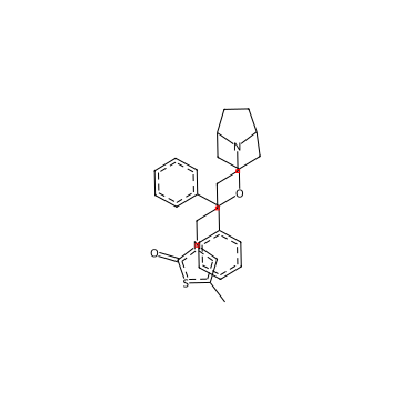 Cc1cn(CCCCN2C3CCC2CC(OC(c2ccccc2)c2ccccc2)C3)c(=O)s1